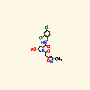 Cc1cc(CC(=O)N2C[C@H](O)C[C@H]2C(=O)NCc2ccc(Cl)cc2Cl)on1